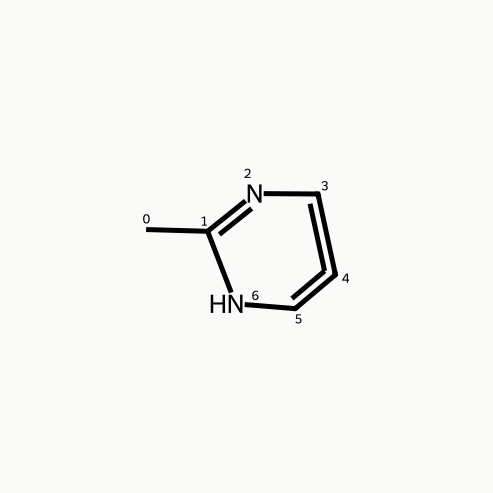 CC1=NC=C=CN1